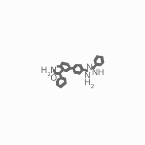 Cc1ccc(-c2ccc(/C(N)=N/C(=N)c3ccccc3)cc2)cc1-c1c(N)oc2ccccc12